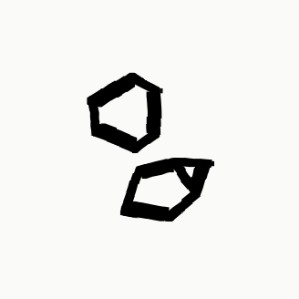 [c]1c2cccc1-2.[c]1ccccc1